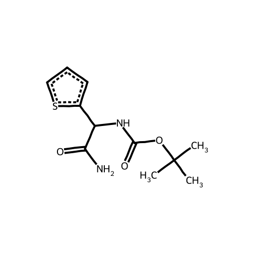 CC(C)(C)OC(=O)NC(C(N)=O)c1cccs1